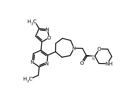 CCc1ncc(-c2cc(C)no2)c(C2CCCN(CC(=O)[C@@H]3CNCCO3)CC2)n1